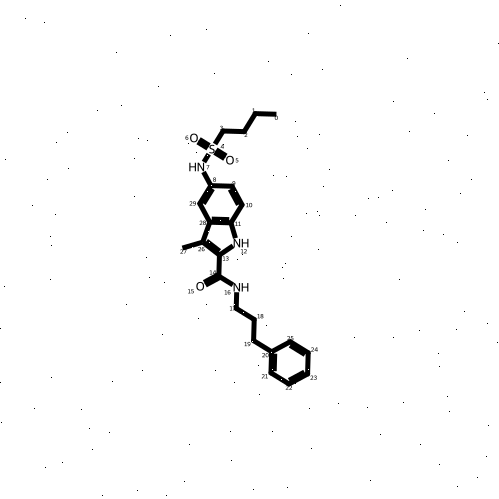 CCCCS(=O)(=O)Nc1ccc2[nH]c(C(=O)NCCCc3ccccc3)c(C)c2c1